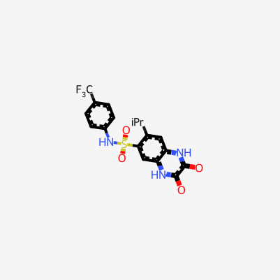 CC(C)c1cc2[nH]c(=O)c(=O)[nH]c2cc1S(=O)(=O)Nc1ccc(C(F)(F)F)cc1